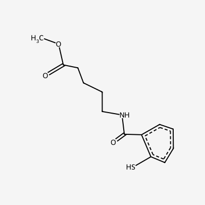 COC(=O)CCCCNC(=O)c1ccccc1S